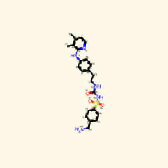 Cc1ccnc(Nc2ccc(CCNC(=O)NS(=O)(=O)c3ccc(CN)cc3)cc2)c1C